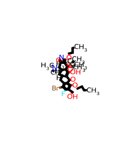 CCCCOc1noc2c1C(=O)[C@@]1(O[Si](C)(C)C(C)(C)C)C(O)=C3C(=O)c4c(c(Br)c(F)c(CO)c4OCCCC)C[C@H]3C[C@H]1[C@@H]2N(C)C